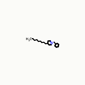 CCCCCCCCCc1cc[n+](Cc2ccccc2)cc1